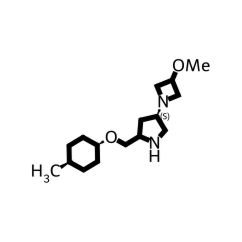 COC1CN([C@@H]2CNC(CO[C@H]3CC[C@H](C)CC3)C2)C1